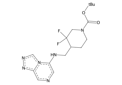 CC(C)(C)OC(=O)N1CCC(CNc2cncc3nncn23)C(F)(F)C1